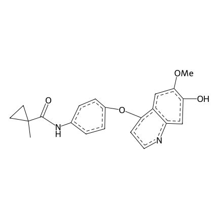 COc1cc2c(Oc3ccc(NC(=O)C4(C)CC4)cc3)ccnc2cc1O